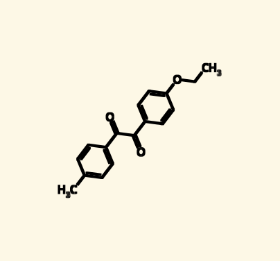 CCOc1ccc(C(=O)C(=O)c2ccc(C)cc2)cc1